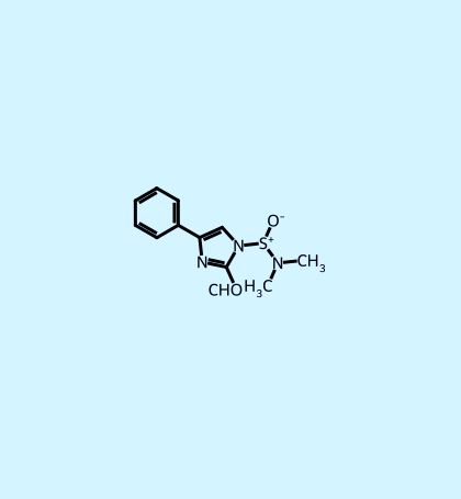 CN(C)[S+]([O-])n1cc(-c2ccccc2)nc1C=O